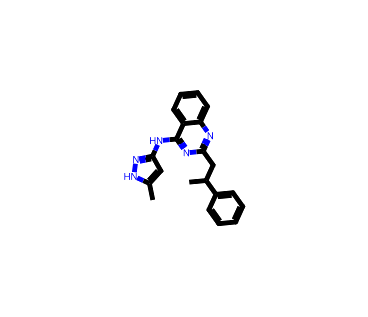 Cc1cc(Nc2nc(CC(C)c3ccccc3)nc3ccccc23)n[nH]1